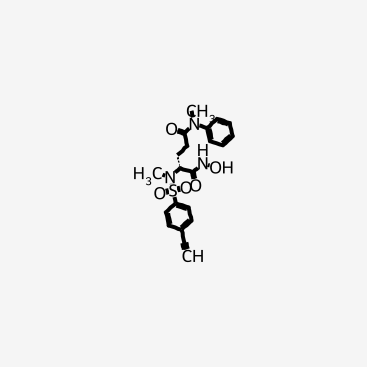 C#Cc1ccc(S(=O)(=O)N(C)[C@H](CCC(=O)N(C)c2ccccc2)C(=O)NO)cc1